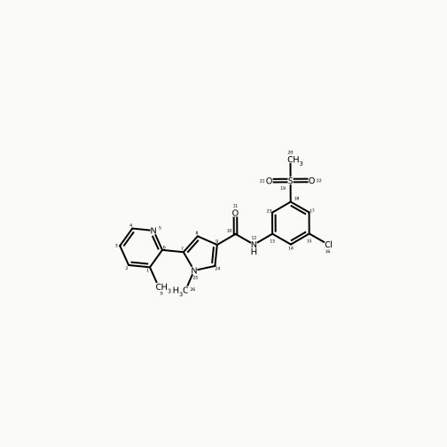 Cc1cccnc1-c1cc(C(=O)Nc2cc(Cl)cc(S(C)(=O)=O)c2)cn1C